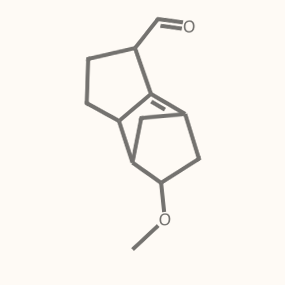 COC1CC2=C3C(C=O)CCC3C1C2